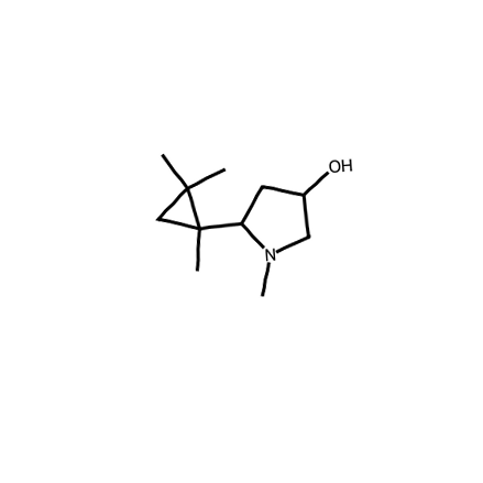 CN1CC(O)CC1C1(C)CC1(C)C